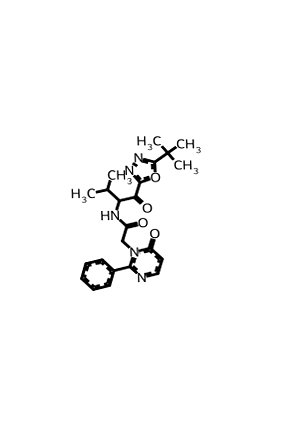 CC(C)C(NC(=O)Cn1c(-c2ccccc2)nccc1=O)C(=O)c1nnc(C(C)(C)C)o1